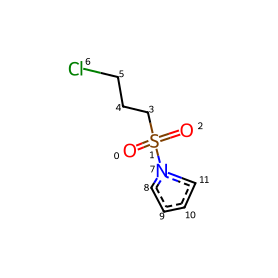 O=S(=O)(CCCCl)n1cccc1